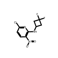 O=[N+]([O-])c1ccc(Cl)nc1NC1CC(F)(F)C1